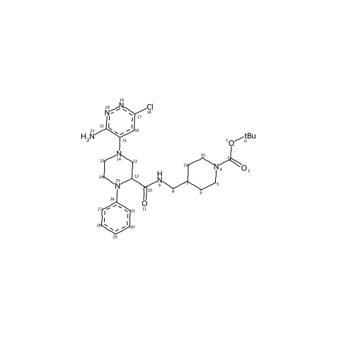 CC(C)(C)OC(=O)N1CCC(CNC(=O)C2CN(c3cc(Cl)nnc3N)CCN2c2ccccc2)CC1